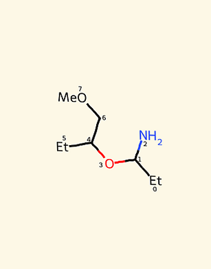 CCC(N)OC(CC)COC